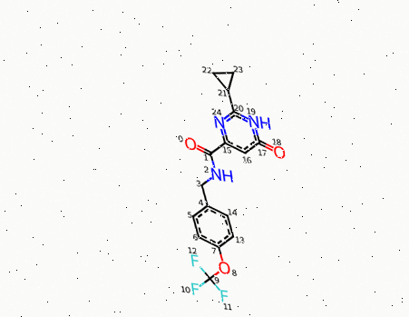 O=C(NCc1ccc(OC(F)(F)F)cc1)c1cc(=O)[nH]c(C2CC2)n1